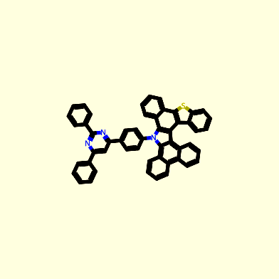 c1ccc(-c2cc(-c3ccc(-n4c5c6ccccc6c6ccccc6c5c5c6c7ccccc7sc6c6ccccc6c54)cc3)nc(-c3ccccc3)n2)cc1